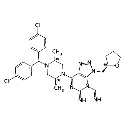 C[C@@H]1CN(c2nc(=N)n(C=N)c3c2nnn3C[C@H]2CCCO2)[C@@H](C)CN1C(c1ccc(Cl)cc1)c1ccc(Cl)cc1